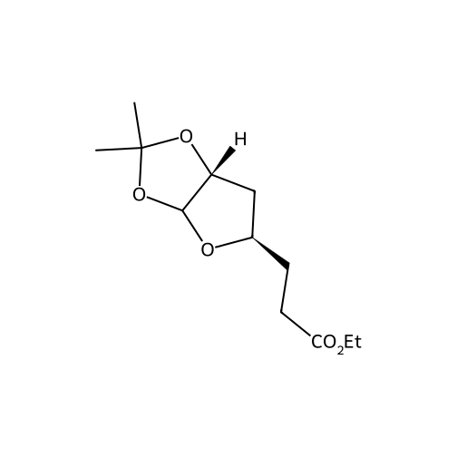 CCOC(=O)CC[C@@H]1C[C@H]2OC(C)(C)OC2O1